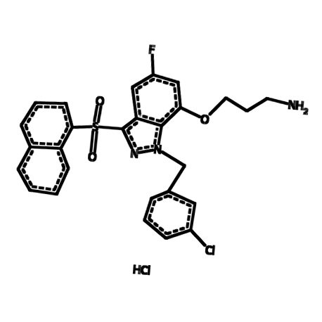 Cl.NCCCOc1cc(F)cc2c(S(=O)(=O)c3cccc4ccccc34)nn(Cc3cccc(Cl)c3)c12